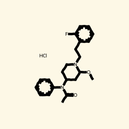 COC1CC(N(C(C)=O)c2ccccc2)CCN1CCc1ccccc1F.Cl